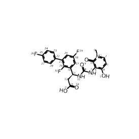 Cn1ccc(O)c(NC(=O)N[C@@H](CC(=O)O)c2cc(F)cc(-c3ccc(F)cc3)c2F)c1=O